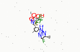 CCOC(=O)C(O)(c1ncc(-c2cc(C)cc(Nc3ncc(F)c(C4CC4)n3)c2)s1)C(F)(F)F